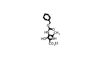 CCOC(=O)c1[nH]c(C)c(NC(=O)OCc2ccccc2)c1O